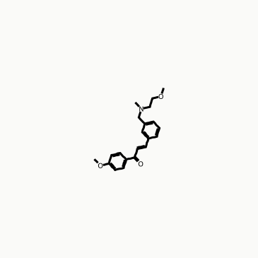 COCCN(C)Cc1cccc(C=CC(=O)c2ccc(OC)cc2)c1